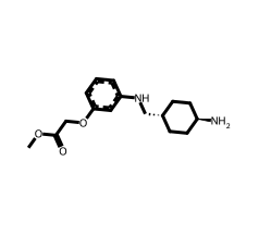 COC(=O)COc1cccc(NC[C@H]2CC[C@H](N)CC2)c1